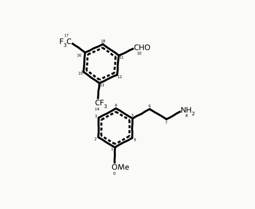 COc1cccc(CCN)c1.O=Cc1cc(C(F)(F)F)cc(C(F)(F)F)c1